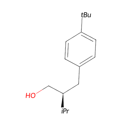 CC(C)[C@@H](CO)Cc1ccc(C(C)(C)C)cc1